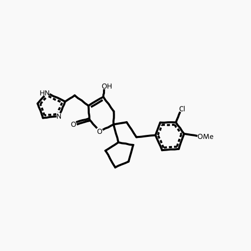 COc1ccc(CCC2(C3CCCC3)CC(O)=C(Cc3ncc[nH]3)C(=O)O2)cc1Cl